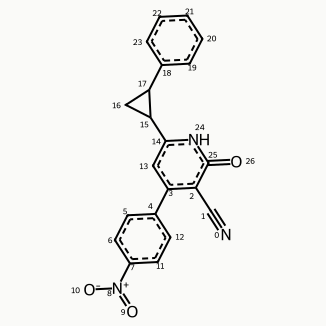 N#Cc1c(-c2ccc([N+](=O)[O-])cc2)cc(C2CC2c2ccccc2)[nH]c1=O